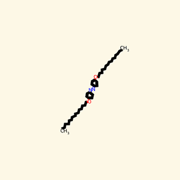 CCCCCCCCCCCCCCCCOc1ccc(/N=N/c2ccc(OCCCCCCCCCCCCCCCC)cc2)cc1